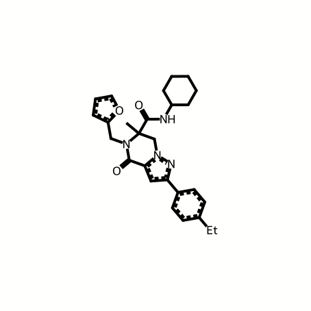 CCc1ccc(-c2cc3n(n2)CC(C)(C(=O)NC2CCCCC2)N(Cc2ccco2)C3=O)cc1